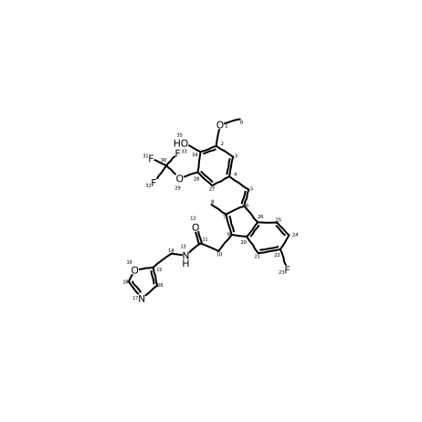 COc1cc(C=C2C(C)=C(CC(=O)NCc3cnco3)c3cc(F)ccc32)cc(OC(F)(F)F)c1O